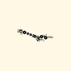 COc1cccc(Oc2ccc(-c3nn(C4CC5CN(C6CN(C7CN(c8ccc(N9CCC(=O)NC9=O)cc8)C7)C6)CC5C4)c4ncnc(N)c34)cc2)c1F